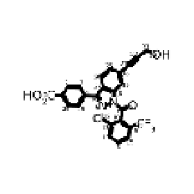 O=C(O)c1ccc(-c2nn(C(=O)c3c(Cl)cccc3C(F)(F)F)c3cc(C#CCO)ccc23)cc1